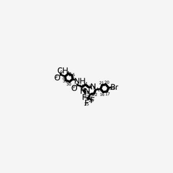 CC(=O)c1ccc(NC(=O)c2cc3nc(-c4ccc(Br)cc4)cc(C(F)(F)F)n3n2)cc1